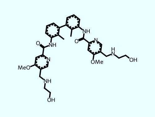 COc1cc(C(=O)Nc2cccc(-c3cccc(NC(=O)c4cc(OC)c(CNCCO)cn4)c3C)c2C)ncc1CNCCO